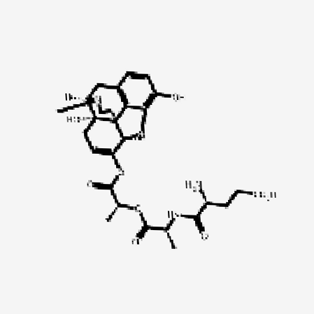 C[C@H](NC(=O)[C@@H](N)CCC(=O)O)C(=O)O[C@@H](C)C(=O)OC1=CC[C@@]2(O)[C@H]3Cc4ccc(O)c5c4[C@@]2(CCN3C)[C@H]1O5